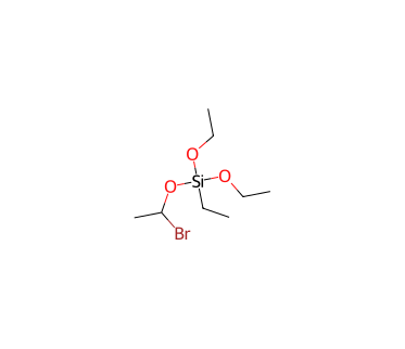 CCO[Si](CC)(OCC)OC(C)Br